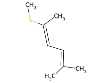 CS/C(C)=C/C=C(C)C